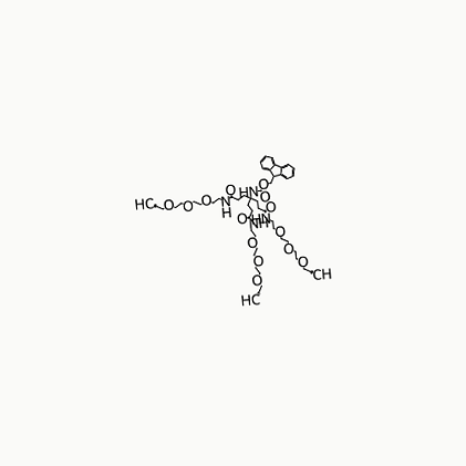 C#CCOCCOCCOCCNC(=O)CCC(CCC(=O)NCCOCCOCCOCC#C)(CCC(=O)NCCOCCOCCOCC#C)NC(=O)OCC1c2ccccc2-c2ccccc21